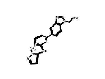 CCC(C)Cn1nnc2cc(-c3ccnc(Nc4ccnn4C)n3)ccc21